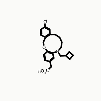 O=C(O)Cc1ccc2c(c1)N(CC1CCC1)CCCCc1cc(Cl)ccc1CO2